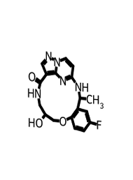 CC1Nc2ccn3ncc(c3n2)C(=O)NCC(O)COc2ccc(F)cc21